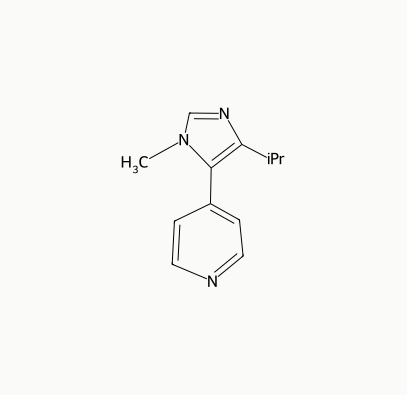 CC(C)c1ncn(C)c1-c1ccncc1